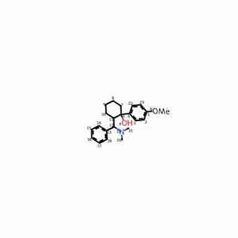 COc1ccc(C2(O)CCCCC2C(c2ccccc2)N(C)C)cc1